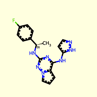 C[C@H](Nc1nc(Nc2ccn[nH]2)c2cccn2n1)c1ccc(F)cc1